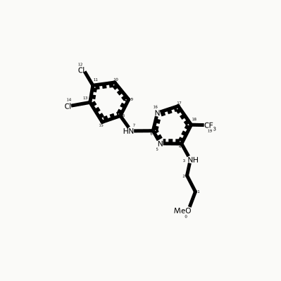 COCCNc1nc(Nc2ccc(Cl)c(Cl)c2)ncc1C(F)(F)F